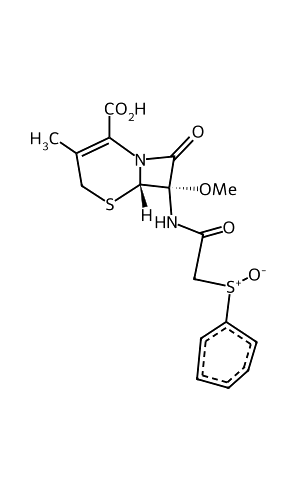 CO[C@@]1(NC(=O)C[S+]([O-])c2ccccc2)C(=O)N2C(C(=O)O)=C(C)CS[C@H]21